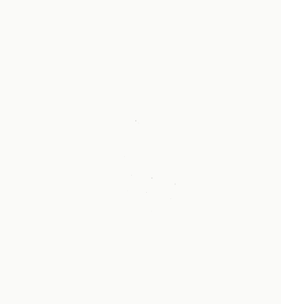 C[C@@H](O[Si](C)(C)C(C)(C)C)[C@H]1COS(=O)(=O)N1C(=O)O